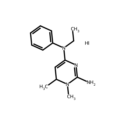 CCN(C1=CC(C)N(C)C(N)=N1)c1ccccc1.I